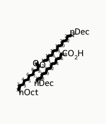 CCCCCCCC/C=C\CCCCCCCC(=O)OCCCCCCCCCCCCCCCCCCCCCC.CCCCCCCCCCCCCCCCCCCCCC(=O)O